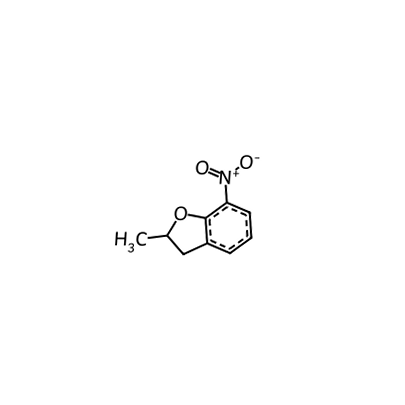 CC1Cc2cccc([N+](=O)[O-])c2O1